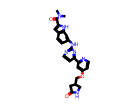 CN(C)C(=O)c1cc2ccc(Nc3nccc(-c4cc(OCC5CNC(=O)C5)ccn4)n3)cc2[nH]1